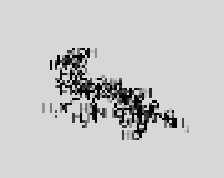 CC[C@H](C)[C@H](NC(=O)[C@H](CCSC)NC(=O)[C@H](CCCCN)NC(=O)[C@H](CCCNC(=N)N)NC(=O)[C@@H](NC(=O)[C@@H](NC(=O)[C@H](Cc1ccc(O)cc1)NC(=O)[C@H](CO)NC(=O)[C@H](C)NC(=O)[C@H](Cc1ccc(O)cc1)NC(=O)[C@@H](N)CCC(N)=O)C(C)C)C(C)C)C(=O)N[C@@H](CC(=O)O)C(=O)N[C@H](C(=O)O)C(C)C